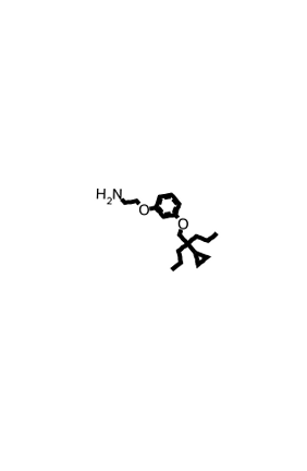 CCCC(CCC)(COc1cccc(OCCN)c1)C1CC1